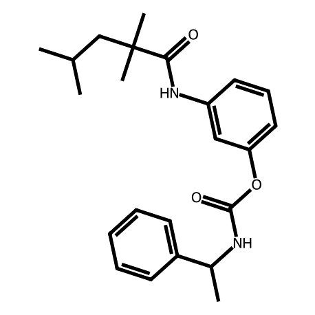 CC(C)CC(C)(C)C(=O)Nc1cccc(OC(=O)NC(C)c2ccccc2)c1